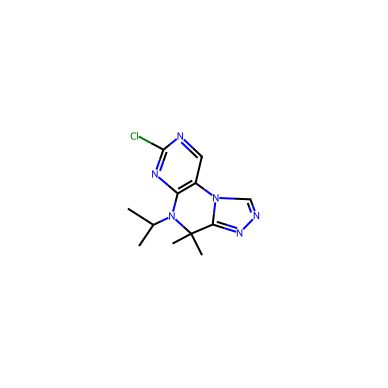 CC(C)N1c2nc(Cl)ncc2-n2cnnc2C1(C)C